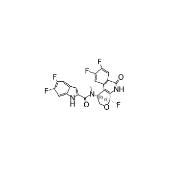 CN(C(=O)c1cc2cc(F)c(F)cc2[nH]1)[C@H]1CO[C@@H](F)c2[nH]c(=O)c3cc(F)c(F)cc3c21